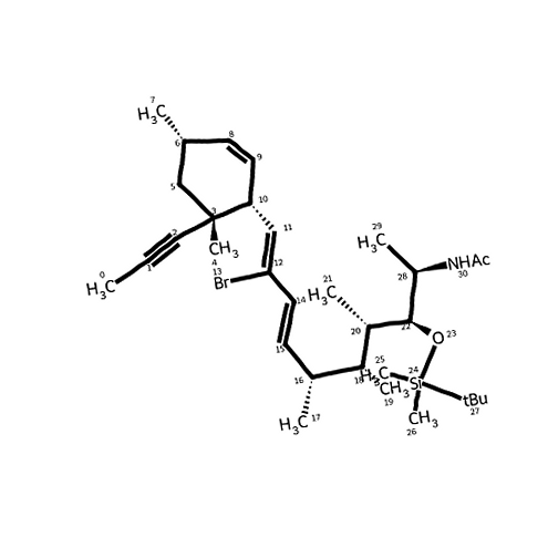 CC#C[C@]1(C)C[C@H](C)C=C[C@@H]1/C=C(Br)/C=C/[C@@H](C)[C@@H](C)[C@H](C)[C@H](O[Si](C)(C)C(C)(C)C)[C@@H](C)NC(C)=O